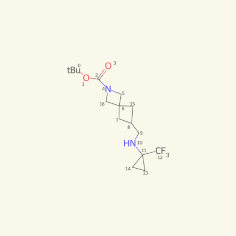 CC(C)(C)OC(=O)N1CC2(CC(CNC3(C(F)(F)F)CC3)C2)C1